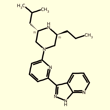 CCC[C@H]1CN(c2cccc(-c3n[nH]c4ncccc34)n2)C[C@H](CC(C)C)N1